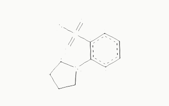 NS(=O)(=O)c1ccccc1N1CCCC1